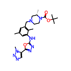 Cc1cc(CN2CCN(C(=O)OC(C)(C)C)[C@@H](C)C2)c(C)c(Nc2nnc(-c3cnnn3C)o2)c1